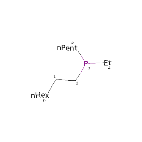 CCCCCCCCP(CC)CCCCC